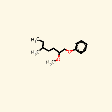 CCC(C)CCC(COc1[c]cccc1)OC